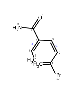 C=C(/C=C\C(=C/C)C(N)=O)C(C)C